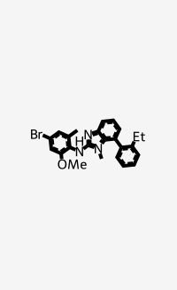 CCc1ccccc1-c1cccc2nc(Nc3c(C)cc(Br)cc3OC)n(C)c12